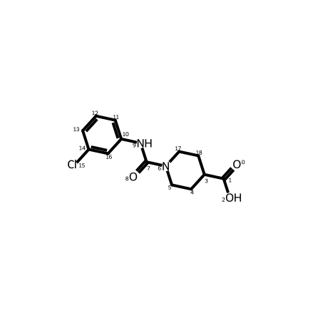 O=C(O)C1CCN(C(=O)Nc2cccc(Cl)c2)CC1